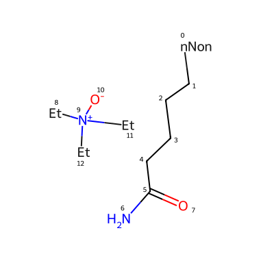 CCCCCCCCCCCCCC(N)=O.CC[N+]([O-])(CC)CC